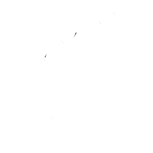 CC(C)C1CC(=O)N(CCCCCC(=O)N[C@H](C(=O)N[C@@H](CCCNC(N)=O)C(=O)C(C)(C)C)C(C)C)C1=O